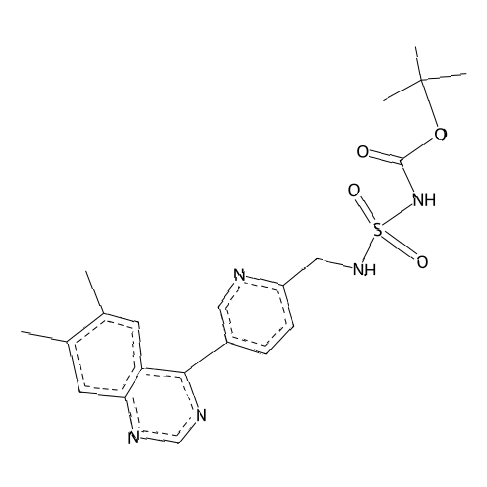 Cc1cc2ncnc(-c3ccc(CNS(=O)(=O)NC(=O)OC(C)(C)C)nc3)c2cc1C